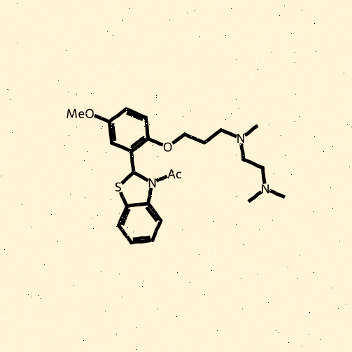 COc1ccc(OCCCN(C)CCN(C)C)c(C2Sc3ccccc3N2C(C)=O)c1